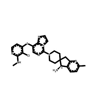 CNc1nccc(Sc2cnc(N3CCC4(CC3)Cc3nc(C)ccc3[C@H]4N)n3ccnc23)c1Cl